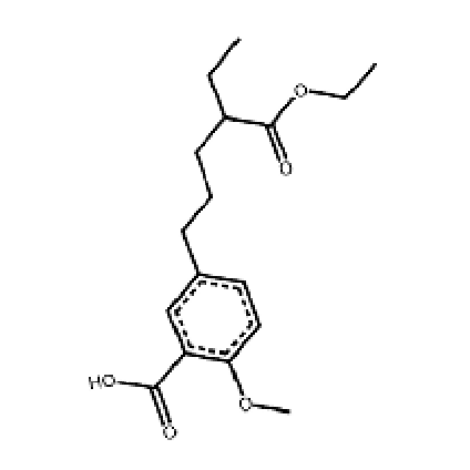 CCOC(=O)C(CC)CCCc1ccc(OC)c(C(=O)O)c1